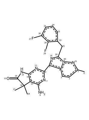 Cc1ccc2c(-c3nc(N)c4c(n3)NC(=O)C4(C)C)nc(Cc3cccc(F)c3F)n2n1